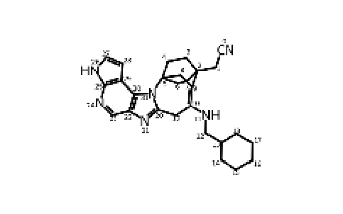 N#CCC12CCC3(CC1)CC2=C(NCC1CCCCC1)Cc1nc2cnc4[nH]ccc4c2n13